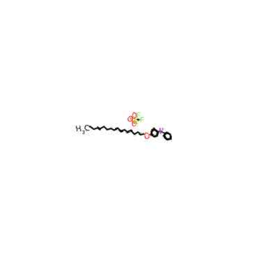 CCCCCCCCCCCCCCCCCCOc1ccc([I+]c2ccccc2)cc1.O=S(=O)([O-])C(F)(F)F